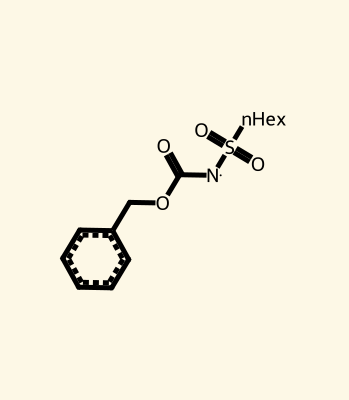 CCCCCCS(=O)(=O)[N]C(=O)OCc1ccccc1